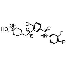 O=C(Nc1ccc(F)c(F)c1)c1ccc(Cl)c(S(=O)(=O)CC2CCC(O)(CO)CC2)c1